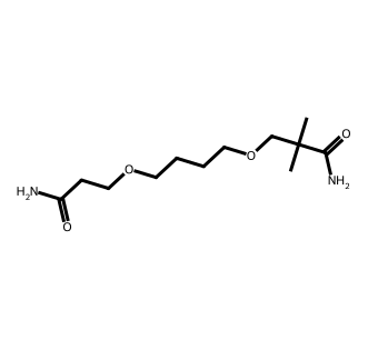 CC(C)(COCCCCOCCC(N)=O)C(N)=O